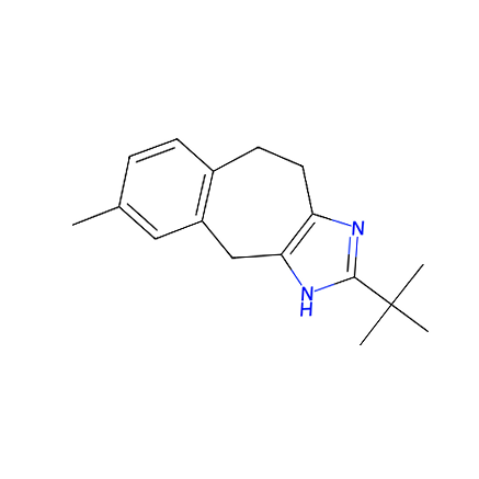 Cc1ccc2c(c1)Cc1[nH]c(C(C)(C)C)nc1CC2